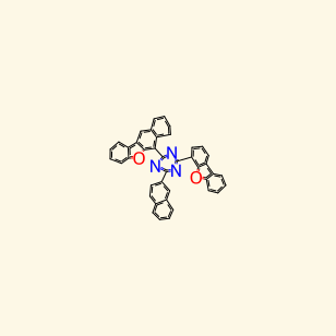 c1ccc2cc(-c3nc(-c4cccc5c4oc4ccccc45)nc(-c4c5ccccc5cc5c4oc4ccccc45)n3)ccc2c1